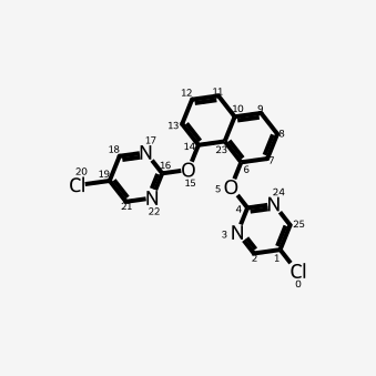 Clc1cnc(Oc2cccc3cccc(Oc4ncc(Cl)cn4)c23)nc1